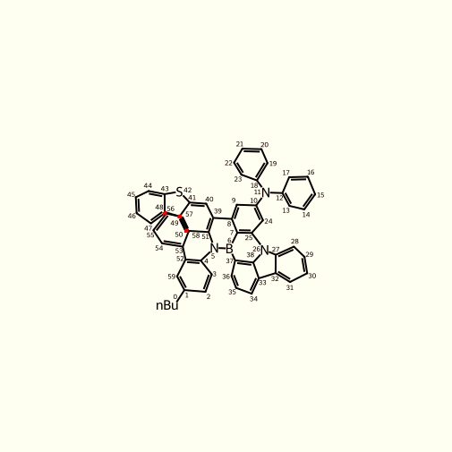 CCCCc1ccc(N2B3c4c(cc(N(c5ccccc5)c5ccccc5)cc4-n4c5ccccc5c5cccc3c54)-c3cc4sc5ccccc5c4cc32)c(-c2ccccc2)c1